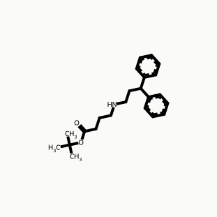 CC(C)(C)OC(=O)CCCNCCC(c1ccccc1)c1ccccc1